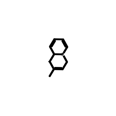 CC1=CCP2C=CC=CC2[CH]1